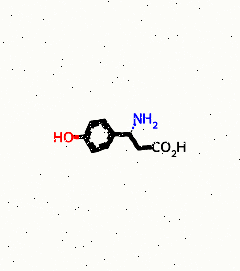 N[C@H](CC(=O)O)c1ccc(O)cc1